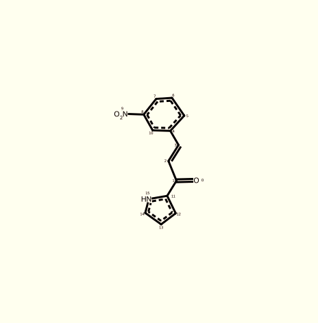 O=C(C=Cc1cccc([N+](=O)[O-])c1)c1ccc[nH]1